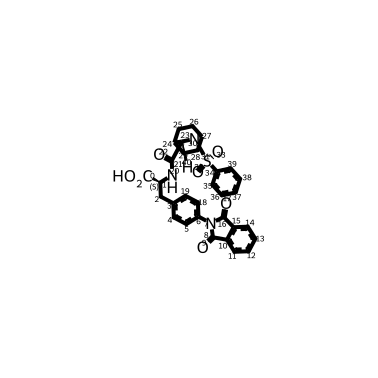 O=C(O)[C@H](Cc1ccc(N2C(=O)c3ccccc3C2=O)cc1)NC(=O)[C@@H]1C2CCC(CC2)N1S(=O)(=O)c1ccccc1